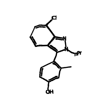 CCCn1nc2c(Cl)cccc2c1-c1ccc(O)cc1C